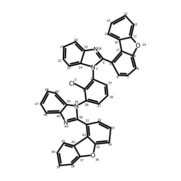 Clc1c(-n2c(-c3cccc4oc5ccccc5c34)nc3ccccc32)cccc1-n1c(-c2cccc3oc4ccccc4c23)nc2ccccc21